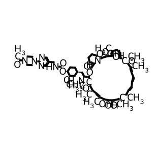 CO[C@H]1C[C@@H]2CC[C@@H](C)[C@@](O)(O2)C(=O)C(=O)N2CCCC[C@H]2C(=O)O[C@H]([C@H](N)C[C@@H]2CC[C@@H](OC(=O)NCc3cnc(N4CCN(C(C)=O)CC4)nc3)[C@H](OC)C2)C[C@@H](OC)[C@H](C)/C=C(\C)[C@@H](O)[C@@H](O)C(=O)[C@H](C)C[C@H](C)/C=C/C=C/C=C/1C